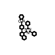 c1ccc(-c2nc(-c3ccccc3)nc(-c3c(-c4ccc(-c5nc6ccccc6o5)cc4)ccc4ccccc34)n2)cc1